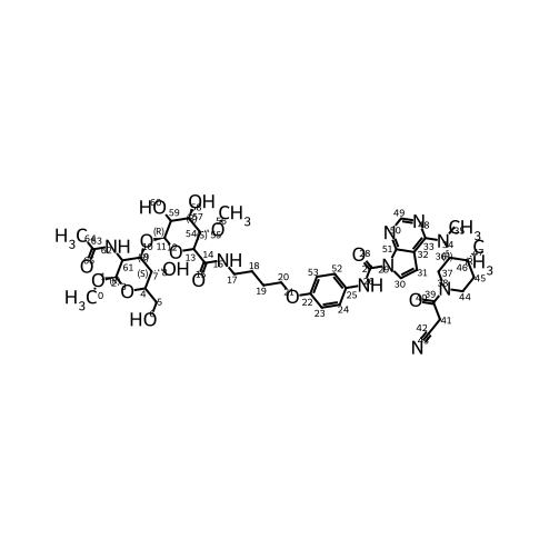 CO[C@@H]1OC(CO)[C@@H](O)[C@H](O[C@@H]2OC(C(=O)NCCCCOc3ccc(NC(=O)n4ccc5c(N(C)[C@H]6CN(C(=O)CC#N)CC[C@H]6C)ncnc54)cc3)[C@@H](OC)[C@H](O)C2O)C1NC(C)=O